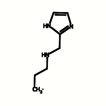 [CH2]CCNCc1ncc[nH]1